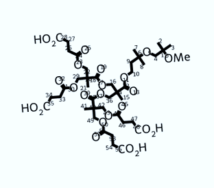 COC(C)(C)COC(C)(C)CCOC(=O)C(C)(COC(=O)C(C)(COC(=O)CCC(=O)O)COC(=O)CCC(=O)O)COC(=O)C(C)(COC(=O)CCC(=O)O)COC(=O)CCC(=O)O